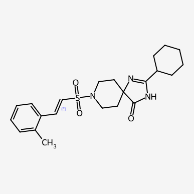 Cc1ccccc1/C=C/S(=O)(=O)N1CCC2(CC1)N=C(C1CCCCC1)NC2=O